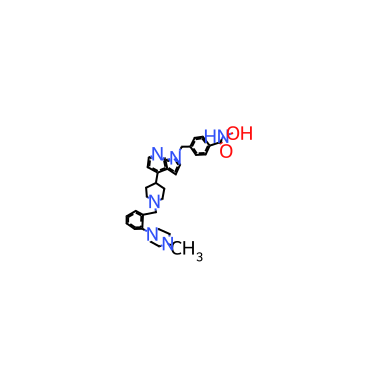 CN1CCN(c2ccccc2CN2CCC(c3ccnc4c3ccn4Cc3ccc(C(=O)NO)cc3)CC2)CC1